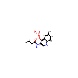 CCCC(=O)Nc1cnc2ccc(C)cc2c1O.O